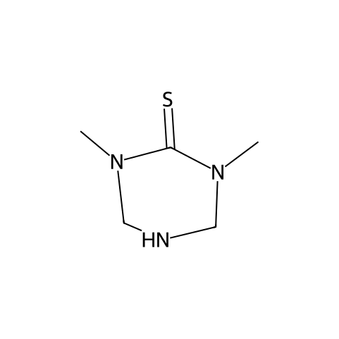 CN1CNCN(C)C1=S